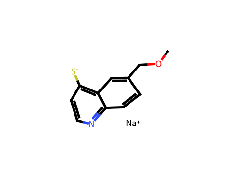 COCc1ccc2nccc([S-])c2c1.[Na+]